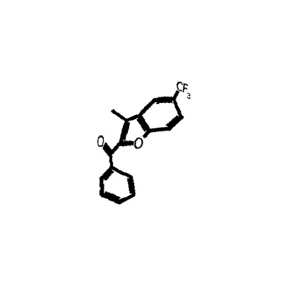 Cc1c(C(=O)c2ccccc2)oc2ccc(C(F)(F)F)cc12